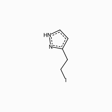 ICCc1cc[nH]n1